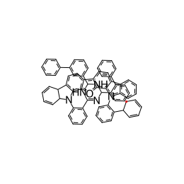 C1=CCC(c2ccccc2-n2c3ccccc3c3ccc4c5ccc6c(c5oc4c32)N(c2ccccc2C2=NC(c3ccccc3-c3ccccc3)NC(c3cccc(-c4ccccc4)c3)N2)C2C=CC=CC62)C=C1